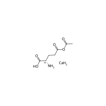 CC(=O)OC(=O)CC[C@H](N)C(=O)O.[CaH2]